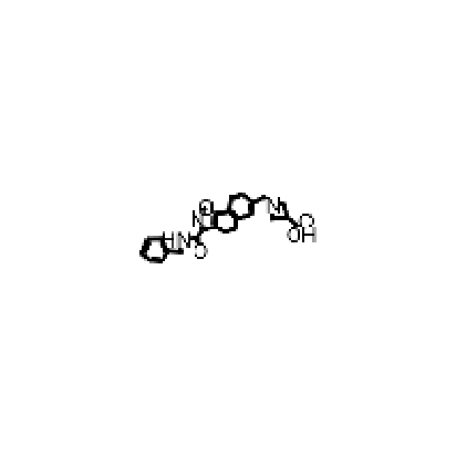 O=C(NCc1ccccc1)c1noc2c1CCc1cc(CN3CC(C(=O)O)C3)ccc1-2